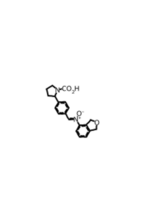 O=C(O)N1CCCC1c1ccc(/C=[N+](\[O-])c2cccc3c2COC3)cc1